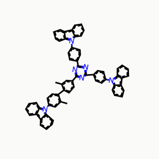 Cc1cc(-c2nc(-c3ccc(-n4c5ccccc5c5ccccc54)cc3)nc(-c3ccc(-n4c5ccccc5c5ccccc54)cc3)n2)ccc1-c1ccc(-n2c3ccccc3c3ccccc32)cc1C